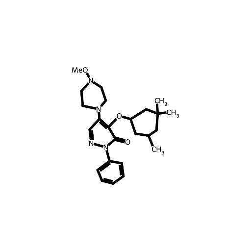 CON1CCN(c2cnn(-c3ccccc3)c(=O)c2OC2CC(C)CC(C)(C)C2)CC1